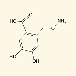 NOCc1cc(O)c(O)cc1C(=O)O